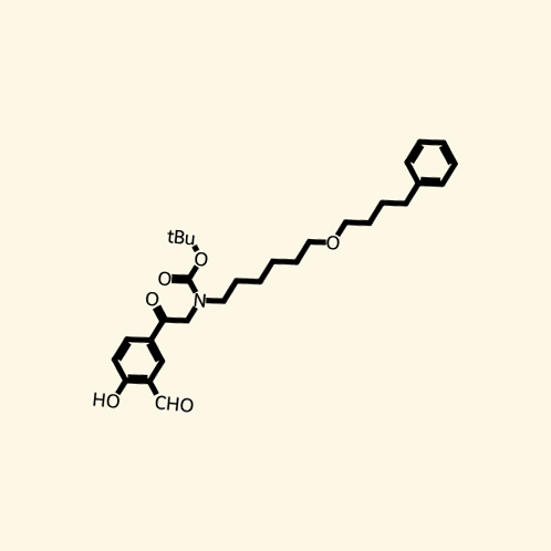 CC(C)(C)OC(=O)N(CCCCCCOCCCCc1ccccc1)CC(=O)c1ccc(O)c(C=O)c1